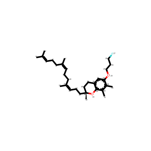 CC(C)=CCCC(C)=CCCC(C)=CCC[C@]1(C)CCc2cc(OCCCF)c(C)c(C)c2O1